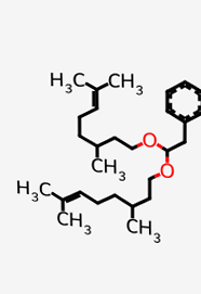 CC(C)=CCCC(C)CCOC(Cc1ccccc1)OCCC(C)CCC=C(C)C